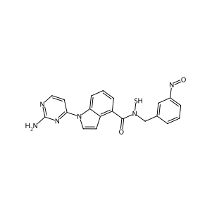 Nc1nccc(-n2ccc3c(C(=O)N(S)Cc4cccc(N=O)c4)cccc32)n1